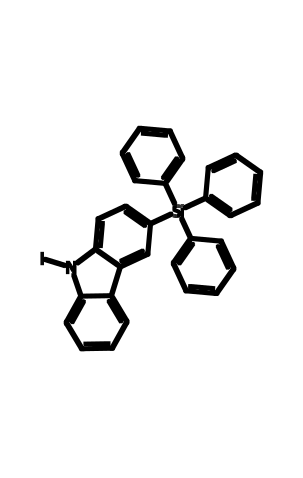 In1c2ccccc2c2cc([Si](c3ccccc3)(c3ccccc3)c3ccccc3)ccc21